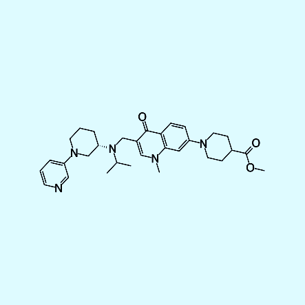 COC(=O)C1CCN(c2ccc3c(=O)c(CN(C(C)C)[C@H]4CCCN(c5cccnc5)C4)cn(C)c3c2)CC1